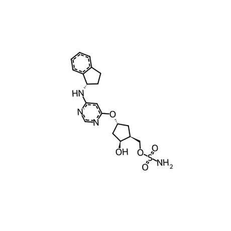 NS(=O)(=O)OC[C@@H]1C[C@@H](Oc2cc(N[C@H]3CCc4ccccc43)ncn2)C[C@@H]1O